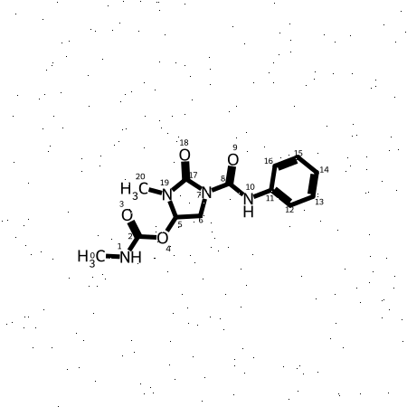 CNC(=O)OC1CN(C(=O)Nc2ccccc2)C(=O)N1C